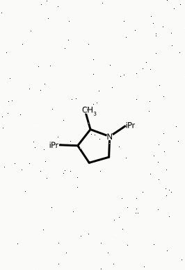 CC(C)C1CCN(C(C)C)C1C